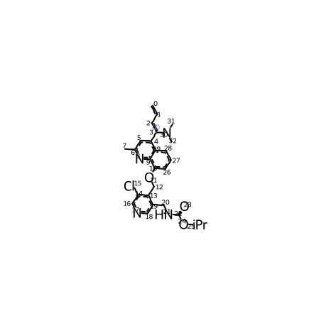 C=C/C=C(/c1cc(C)nc2c(OCc3c(Cl)cncc3CNC(=O)OC(C)C)cccc12)N(C)C